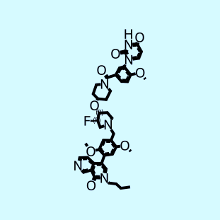 CCCCn1cc(-c2cc(OC)c(CN3CC[C@@H](OC4CCN(C(=O)c5ccc(OC)c(-n6ccc(=O)[nH]c6=O)c5)CC4)[C@H](F)C3)cc2OC)c2ccncc2c1=O